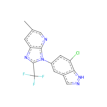 Cc1cnc2c(c1)nc(C(F)(F)F)n2-c1cc(Cl)c2[nH]ncc2c1